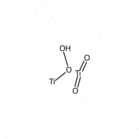 O[O][Ti].[O]=[Ti]=[O]